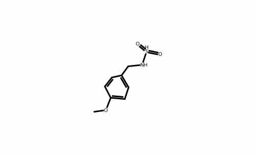 COc1ccc(CN[SH](=O)=O)cc1